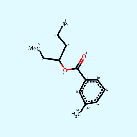 COCC(CCC(C)C)OC(=O)c1cccc(C)c1